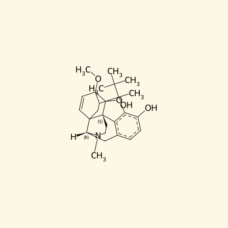 COC12C=CC3(CC1C(C)(O)C(C)(C)C)[C@H]1Cc4ccc(O)c5c4[C@@]3(CCN1C)C2O5